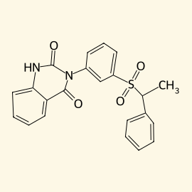 CC(c1ccccc1)S(=O)(=O)c1cccc(-n2c(=O)[nH]c3ccccc3c2=O)c1